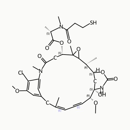 COc1cc2cc(c1Cl)N(C)C(=O)C[C@H](OC(=O)[C@H](C)N(C)C(=O)CCS)C1(C)OC1[C@H](C)[C@@H]1C[C@@](O)(NC(=O)O1)[C@H](OC)/C=C/C=C(\C)C2